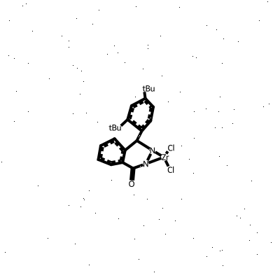 CC(C)(C)c1ccc(C2c3ccccc3C(=O)[N]3[N]2[Zr]3([Cl])[Cl])c(C(C)(C)C)c1